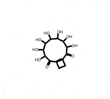 O=C1C2=C(CC2)C(=O)C(O)C(O)C(O)C(O)C(O)C(O)C1O